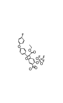 CCOC(=O)c1c(-c2ccc(Oc3ccc(F)cc3)cc2)oc2cc([N+](=O)[O-])c(OS(=O)(=O)C(F)(F)F)cc12